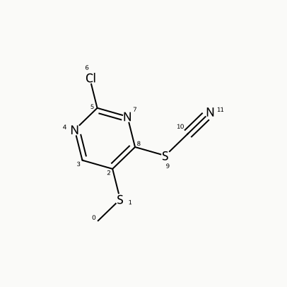 CSc1cnc(Cl)nc1SC#N